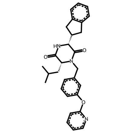 CC(C)C[C@@H]1C(=O)N[C@H](C2Cc3ccccc3C2)C(=O)N1Cc1cccc(Oc2ccccn2)c1